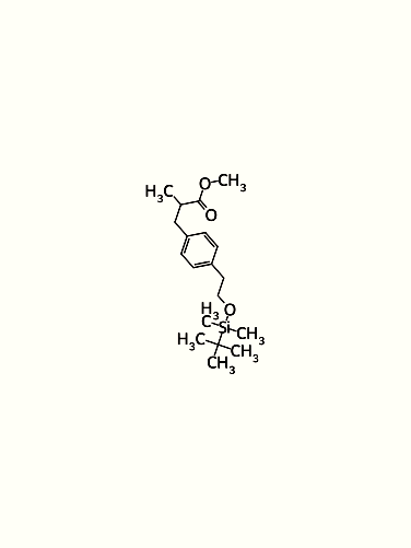 COC(=O)C(C)Cc1ccc(CCO[Si](C)(C)C(C)(C)C)cc1